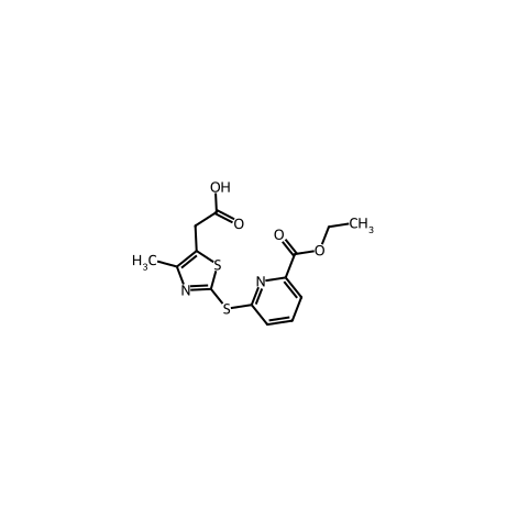 CCOC(=O)c1cccc(Sc2nc(C)c(CC(=O)O)s2)n1